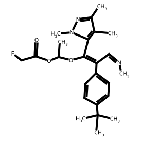 C/N=C\C(=C(\OC(C)OC(=O)CF)c1c(C)c(C)nn1C)c1ccc(C(C)(C)C)cc1